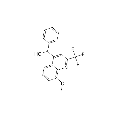 COc1cccc2c(C(O)c3ccccc3)cc(C(F)(F)F)nc12